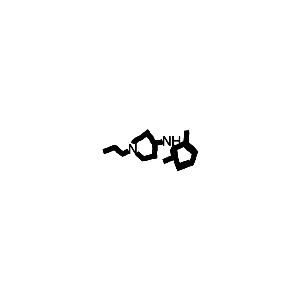 CCCN1CCC(Nc2c(C)cccc2C)CC1